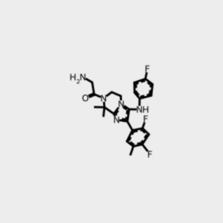 Cc1cc(-c2nc3n(c2Nc2ccc(F)cc2)CCN(C(=O)CN)C3(C)C)c(F)cc1F